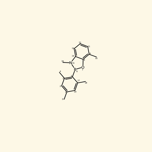 Cc1cc(C)c(B2Oc3c(C)cccc3N2C)c(C)c1